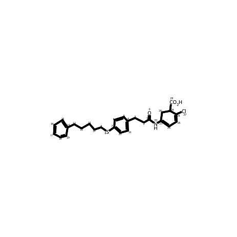 O=C(CCc1ccc(SCCCCCc2ccccc2)cc1)NC1=CC=C(Cl)C(C(=O)O)C1